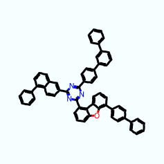 c1ccc(-c2ccc(-c3cccc4c3oc3cccc(-c5nc(-c6ccc(-c7cccc(-c8ccccc8)c7)cc6)nc(-c6ccc7c(-c8ccccc8)cccc7c6)n5)c34)cc2)cc1